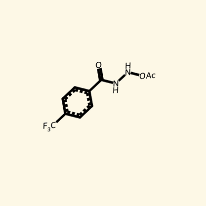 CC(=O)ONNC(=O)c1ccc(C(F)(F)F)cc1